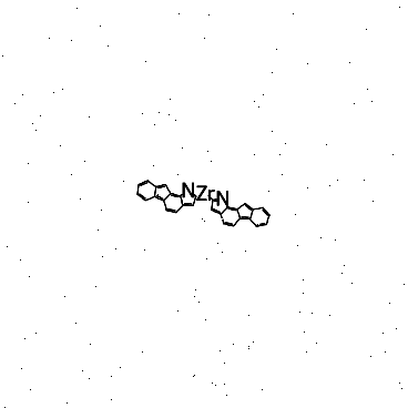 C1=c2ccc3c(c2N=[C]1[Zr][C]1=Nc2c4c(ccc2=C1)=c1ccccc1=C4)C=c1ccccc1=3